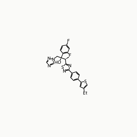 CCc1csc(-c2ccc(-c3nsc([C@H](C)[C@](O)(Cn4cncn4)c4ccc(F)cc4F)n3)cc2)c1